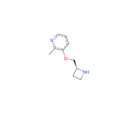 Cc1ncccc1OC[C@@H]1CCN1